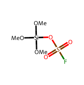 CO[Si](OC)(OC)OS(=O)(=O)F